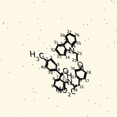 Cc1ccc(C(=O)c2ccccc2NC(Cc2ccc(OCCn3c4ccccc4c4ccccc43)cc2)C(=O)O)cc1